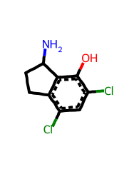 NC1CCc2c(Cl)cc(Cl)c(O)c21